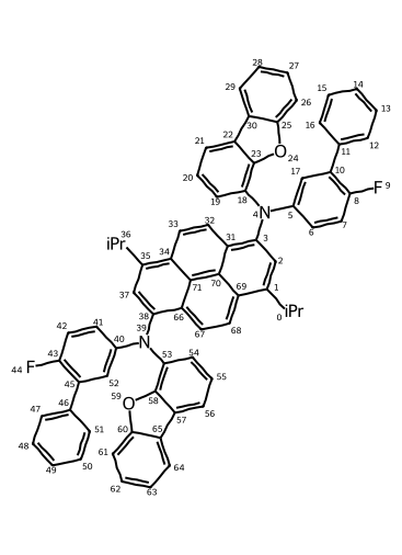 CC(C)c1cc(N(c2ccc(F)c(-c3ccccc3)c2)c2cccc3c2oc2ccccc23)c2ccc3c(C(C)C)cc(N(c4ccc(F)c(-c5ccccc5)c4)c4cccc5c4oc4ccccc45)c4ccc1c2c34